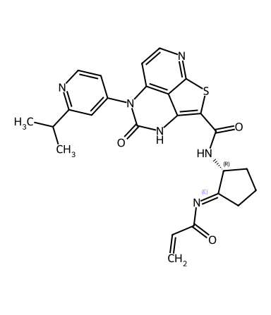 C=CC(=O)/N=C1\CCC[C@H]1NC(=O)c1sc2nccc3c2c1NC(=O)N3c1ccnc(C(C)C)c1